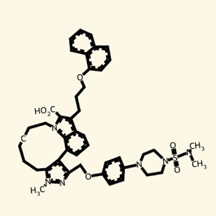 CN(C)S(=O)(=O)N1CCN(c2ccc(OCc3nn(C)c4c3-c3cccc5c(CCCOc6cccc7ccccc67)c(C(=O)O)n(c35)CCCCCC4)cc2)CC1